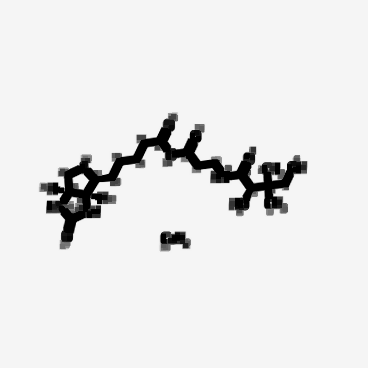 CC(C)(CO)[C@@H](O)C(=O)NCCC(=O)OC(=O)CCCC[C@@H]1SC[C@@H]2NC(=O)N[C@@H]21.[CaH2]